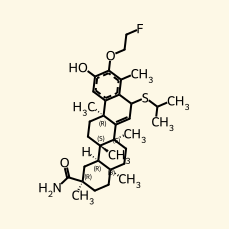 Cc1c(OCCF)c(O)cc2c1C(SC(C)C)C=C1[C@@]2(C)CC[C@@]2(C)[C@@H]3C[C@](C)(C(N)=O)CC[C@]3(C)CC[C@]12C